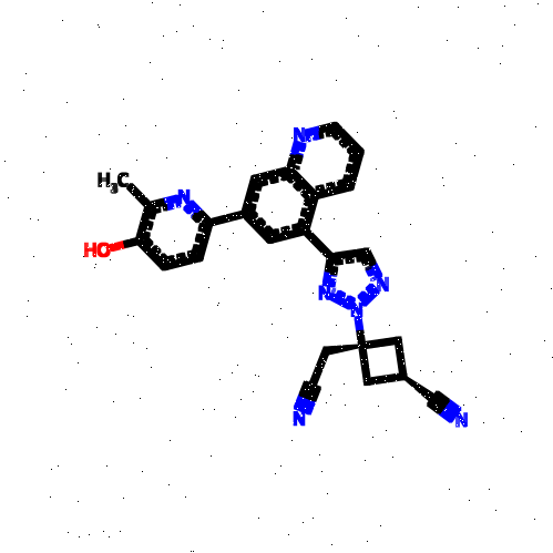 Cc1nc(-c2cc(-c3cnn([C@]4(CC#N)C[C@@H](C#N)C4)n3)c3cccnc3c2)ccc1O